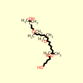 CC(C)(O)CCCCOC(C)(C)CCCCC(C)(C)CC(=O)CCCCCC(C)(C)OC(=O)CCCCCO